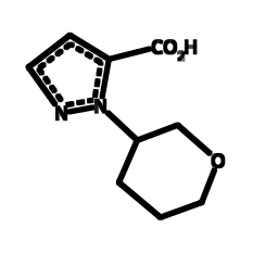 O=C(O)c1ccnn1C1CCCOC1